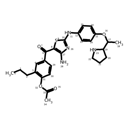 CCCc1cc(C(=O)c2sc(Nc3ccc(OC(C)C4CCCN4)cc3)nc2N)ccc1OC(C)=O